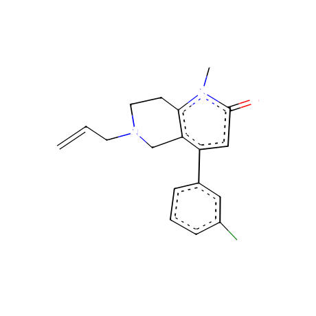 C=CCN1CCc2c(c(-c3cccc(Cl)c3)cc(=O)n2C)C1